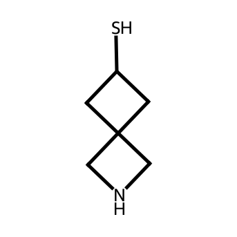 SC1CC2(CNC2)C1